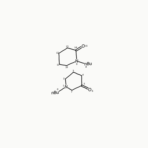 CCCCN1CCCC(=O)C1.CCCCN1CCCCC1=O